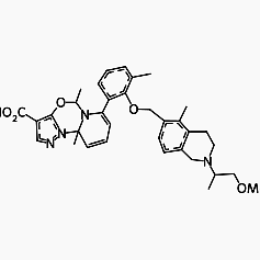 COCC(C)N1CCc2c(ccc(COc3c(C)cccc3C3=CC=CC4(C)N3C(C)Oc3c(C(=O)O)cnn34)c2C)C1